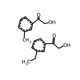 CCc1cccc(C(=O)CO)c1.Cc1cccc(C(=O)CO)c1